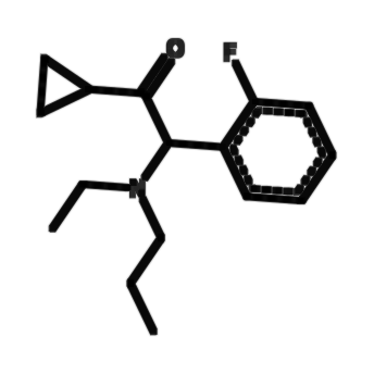 CCCN(CC)C(C(=O)C1CC1)c1ccccc1F